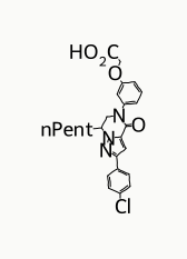 CCCCCC1CN(c2cccc(OCC(=O)O)c2)C(=O)c2cc(-c3ccc(Cl)cc3)nn21